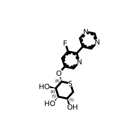 O[C@@H]1[C@@H](O)[C@H](Oc2cnc(-c3cncnc3)c(F)c2)SC[C@H]1O